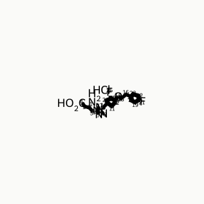 Cl.N[C@@H](CC(=O)O)Cn1nnc(-c2ccc(OCCc3ccc(F)cc3)c(F)c2)n1